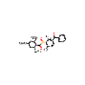 COc1cc(OC)c(C(=O)[PH](=O)c2c(C(F)(F)F)ccc(C(=O)c3ccccc3)c2C(F)(F)F)c(OC)c1